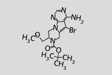 COCC1Cn2c(c(Br)c3c(N)ncnc32)CN1C(=O)OC(C)(C)C